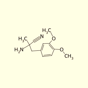 COc1ccc(CC(C)(N)C#N)cc1OC